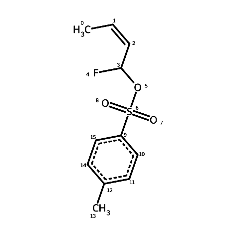 C/C=C\C(F)OS(=O)(=O)c1ccc(C)cc1